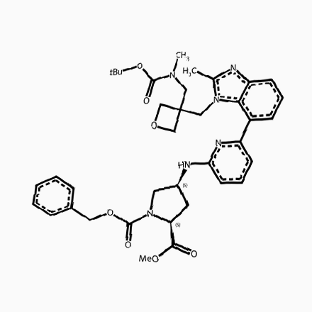 COC(=O)[C@@H]1C[C@H](Nc2cccc(-c3cccc4nc(C)n(CC5(CN(C)C(=O)OC(C)(C)C)COC5)c34)n2)CN1C(=O)OCc1ccccc1